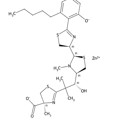 CCCCCc1cccc([O-])c1C1=N[C@@H]([C@H]2SC[C@@H]([C@H](O)C(C)(C)C3=N[C@@](C)(C(=O)[O-])CS3)N2C)CS1.[Zn+2]